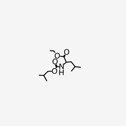 CCOC(=O)C(CC(C)C)NC(=O)OCC(C)C